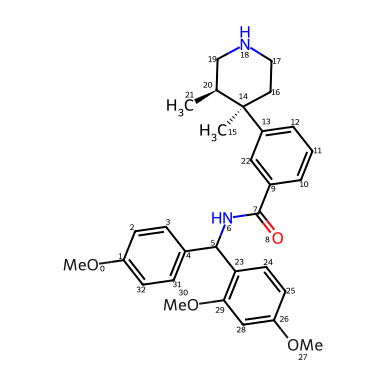 COc1ccc(C(NC(=O)c2cccc([C@]3(C)CCNC[C@@H]3C)c2)c2ccc(OC)cc2OC)cc1